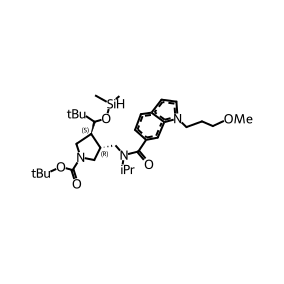 COCCCn1ccc2ccc(C(=O)N(C[C@@H]3CN(C(=O)OC(C)(C)C)C[C@H]3C(O[SiH](C)C)C(C)(C)C)C(C)C)cc21